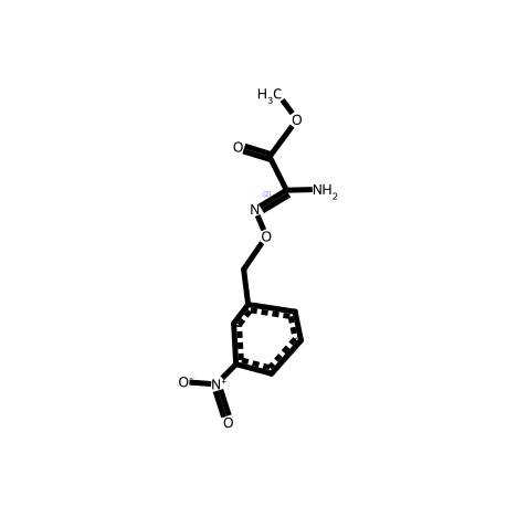 COC(=O)/C(N)=N/OCc1cccc([N+](=O)[O-])c1